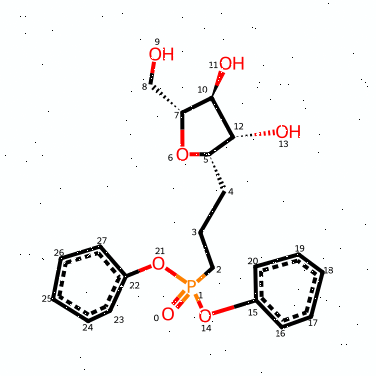 O=P(CCC[C@@H]1O[C@H](CO)[C@@H](O)[C@@H]1O)(Oc1ccccc1)Oc1ccccc1